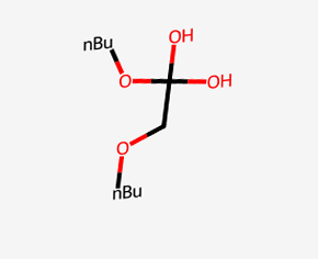 CCCCOCC(O)(O)OCCCC